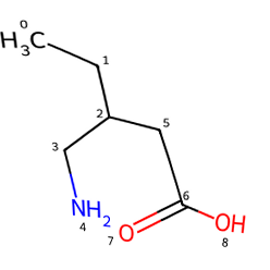 CCC(CN)CC(=O)O